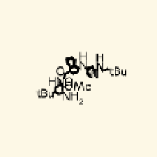 COc1c(N)cc(C(C)(C)C)cc1NC(=O)C(=O)c1ccc(Nc2ccnc(NCCC(C)(C)C)c2)c2ccccc12